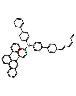 C=C/C=C\C=C\C1C=CC(c2ccc(N(C3=CC=C(C4=CC=CCC4)CC3)c3ccc(-c4cc5ccccc5c5cccc(-c6ccccc6)c45)cc3)cc2)=CC1